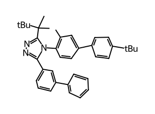 Cc1cc(-c2ccc(C(C)(C)C)cc2)ccc1-n1c(-c2cccc(-c3ccccc3)c2)nnc1C(C)(C)C(C)(C)C